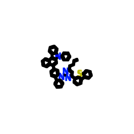 C=CCCc1cc(-c2cccc3c2sc2ccccc23)nc(-n2c3ccccc3c3ccc(-c4cc5c(c6ccccc46)c4ccccc4n5-c4ccccc4)cc32)n1